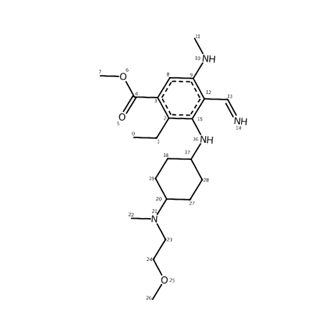 CCc1c(C(=O)OC)cc(NC)c(C=N)c1NC1CCC(N(C)CCOC)CC1